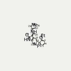 CCOc1cccc(F)c1-c1cc2c(cn1)NC(=O)/C2=C(/C)Nc1cnn(C)c1